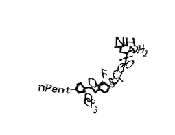 CCCCCc1ccc(-c2cc3ccc(SCC(C)(COC(=O)C(C)(C)C(N)CC(C)(C)N)C(F)(F)F)cc3o2)c(OC(F)(F)F)c1